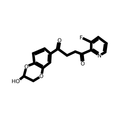 O=C(CCC(=O)c1ncccc1F)c1ccc2c(c1)OCC(O)O2